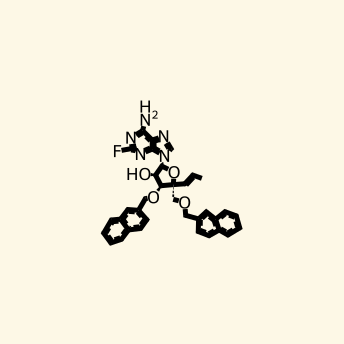 C/C=C/[C@]1(COCc2ccc3ccccc3c2)O[C@@H](n2cnc3c(N)nc(F)nc32)[C@H](O)[C@@H]1OCc1ccc2ccccc2c1